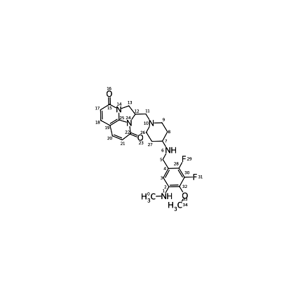 CNc1cc(CNC2CCN(CC3Cn4c(=O)ccc5ccc(=O)n3c54)CC2)c(F)c(F)c1OC